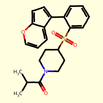 CC(C)C(=O)N1CCC(S(=O)(=O)c2ccccc2-c2ccc3occcc2-3)CC1